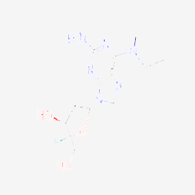 CCN(C)c1nc(N)nc2c1ncn2[C@@H]1O[C@](F)(CO)[C@@H](O)[C@@]1(C)F